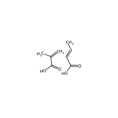 C=C(C)C(=O)O.CC=CC(=O)O